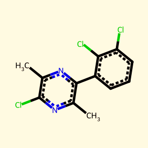 Cc1nc(-c2cccc(Cl)c2Cl)c(C)nc1Cl